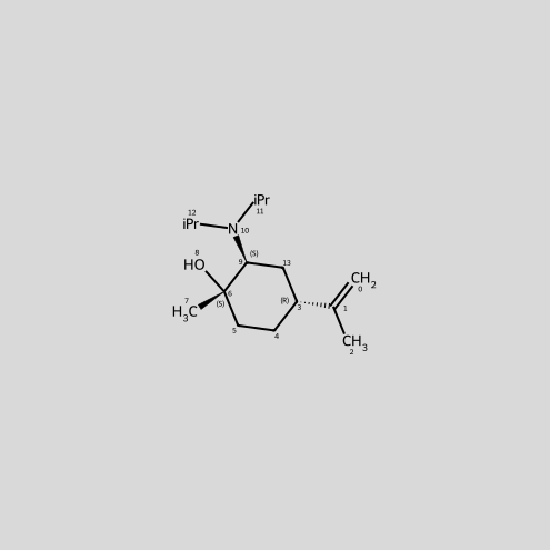 C=C(C)[C@@H]1CC[C@](C)(O)[C@@H](N(C(C)C)C(C)C)C1